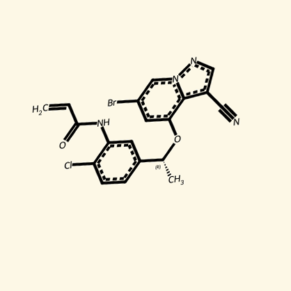 C=CC(=O)Nc1cc([C@@H](C)Oc2cc(Br)cn3ncc(C#N)c23)ccc1Cl